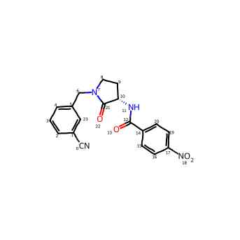 N#Cc1cccc(CN2CC[C@H](NC(=O)c3ccc([N+](=O)[O-])cc3)C2=O)c1